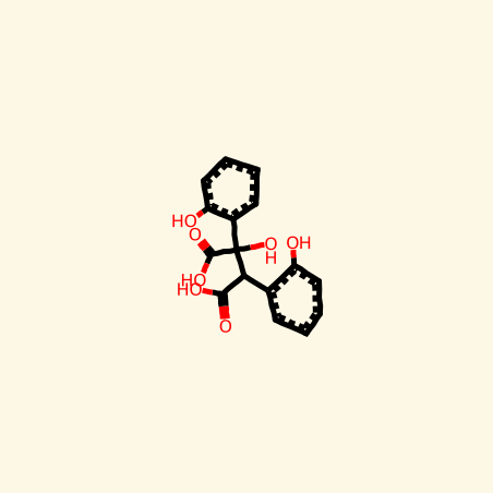 O=C(O)C(c1ccccc1O)C(O)(C(=O)O)c1ccccc1O